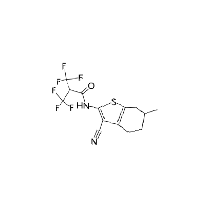 CC1CCc2c(sc(NC(=O)C(C(F)(F)F)C(F)(F)F)c2C#N)C1